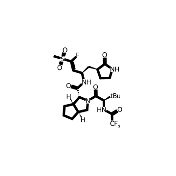 CC(C)(C)[C@@H](NC(=O)C(F)(F)F)C(=O)N1C[C@H]2CCC[C@H]2[C@@H]1C(=O)N[C@@H](/C=C(\F)S(C)(=O)=O)C[C@@H]1CCNC1=O